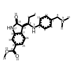 CCC(Nc1ccc(CN(C)C)cc1)=C1C(=O)Nc2cc(C(=O)OC)ccc21